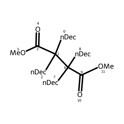 CCCCCCCCCCC(CCCCCCCCCC)(C(=O)OC)C(CCCCCCCCCC)(CCCCCCCCCC)C(=O)OC